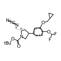 CC(C)(C)OC(=O)N1CC(c2ccc(OC(F)F)c(OCC3CC3)c2)C[C@H]1CN=[N+]=[N-]